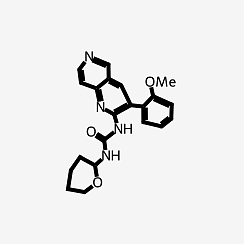 COc1ccccc1-c1cc2cnccc2nc1NC(=O)NC1CCCCO1